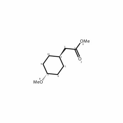 COC(=O)C[C@H]1CC[C@H](OC)CC1